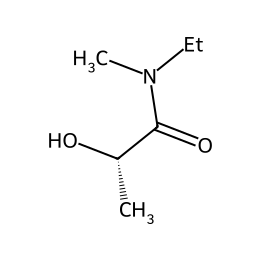 CCN(C)C(=O)[C@H](C)O